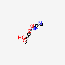 CCCCC(C)(Cc1ccc(OCCNC(=O)c2ccc(-c3ccccn3)cc2)cc1)C(=O)O